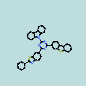 c1ccc(-c2nc3ccc(-c4nc(-c5ccc6c(c5)sc5ccccc56)nc(-n5c6ccccc6c6ccccc65)n4)cc3s2)cc1